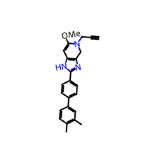 C#CCN1Cc2nc(-c3ccc(-c4ccc(C)c(C)c4)cc3)[nH]c2C=C1OC